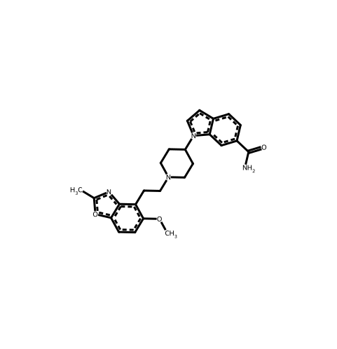 COc1ccc2oc(C)nc2c1CCN1CCC(n2ccc3ccc(C(N)=O)cc32)CC1